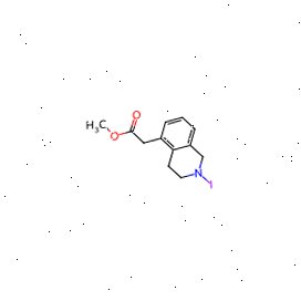 COC(=O)Cc1cccc2c1CCN(I)C2